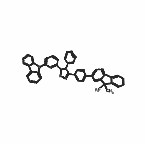 CC1(C)c2ccccc2-c2ccc(-c3ccc(-c4nnc(-c5cccc(-n6c7ccccc7c7ccccc76)n5)n4-c4ccccc4)cc3)cc21